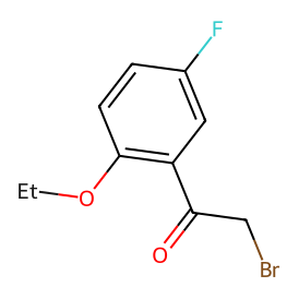 CCOc1ccc(F)cc1C(=O)CBr